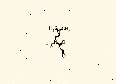 CN(C)CCN(C)C(=O)OC=O